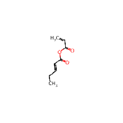 C=CC(=O)OC(=O)C=CCC